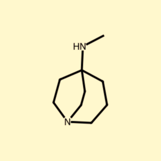 CNC12CCCN(CC1)CC2